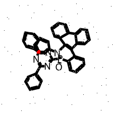 O=P1(c2nc(-c3ccccc3)nc(-c3ccccc3)n2)c2ccccc2-c2c(c3ccccc3c3ccccc23)N1c1ccccc1